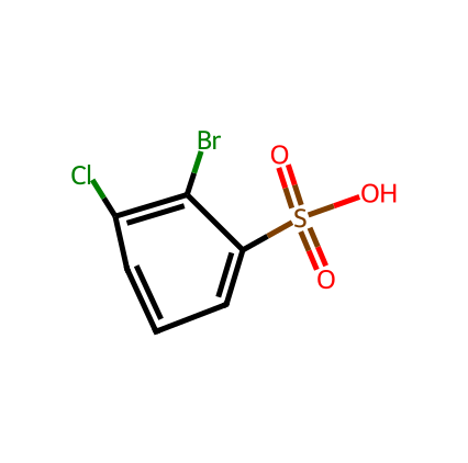 O=S(=O)(O)c1cccc(Cl)c1Br